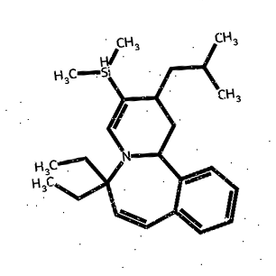 CCC1(CC)C=Cc2ccccc2C2CC(CC(C)C)C([SiH](C)C)=CN21